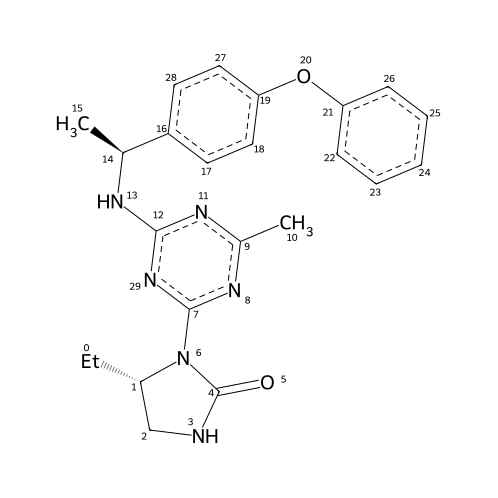 CC[C@H]1CNC(=O)N1c1nc(C)nc(N[C@@H](C)c2ccc(Oc3ccccc3)cc2)n1